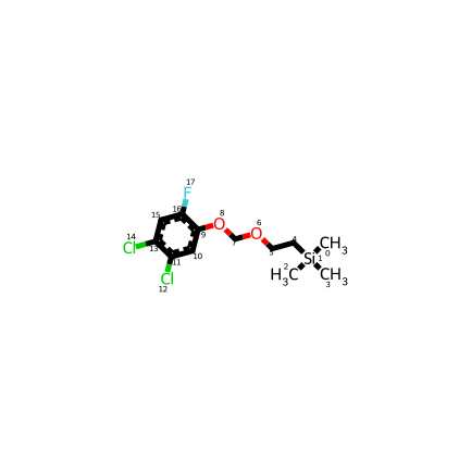 C[Si](C)(C)CCOCOc1cc(Cl)c(Cl)cc1F